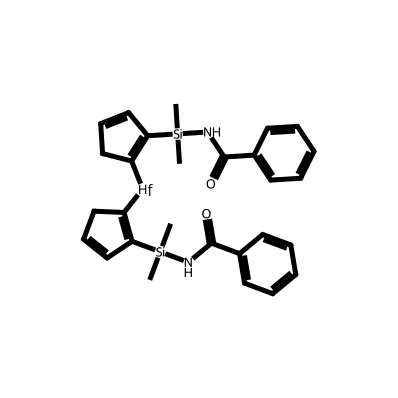 C[Si](C)(NC(=O)c1ccccc1)C1=[C]([Hf][C]2=C([Si](C)(C)NC(=O)c3ccccc3)C=CC2)CC=C1